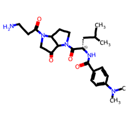 CC(C)C[C@H](NC(=O)c1ccc(N(C)C)cc1)C(=O)N1CCC2C1C(=O)CN2C(=O)CCN